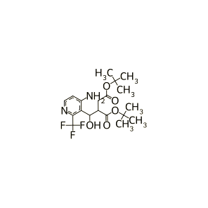 CC(C)(C)OC(=O)CC(C(=O)OC(C)(C)C)C(O)c1c(N)ccnc1C(F)(F)F